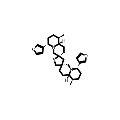 C[C@@H]1CC[C@@H](c2ccoc2)N2C[C@]3(CC[C@@H]12)CS[C@]1(CC[C@H]2[C@H](C)CC[C@@H](c4ccoc4)N2C1)C3